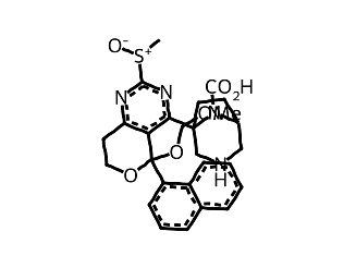 COCOC1(c2cccc3ccccc23)OCCc2nc([S+](C)[O-])nc(C34CCC(CNC3)N4C(=O)O)c21